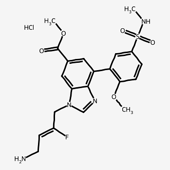 CNS(=O)(=O)c1ccc(OC)c(-c2cc(C(=O)OC)cc3c2ncn3C/C(F)=C/CN)c1.Cl